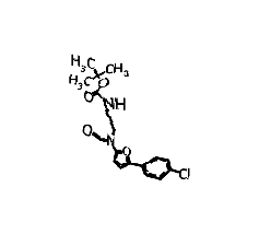 CC(C)(C)OC(=O)NCCN(C=O)c1ccc(-c2ccc(Cl)cc2)o1